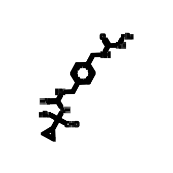 CCCCNC(=O)NCc1ccc(CNC(=N)NC(C=O)(CCCC)C2CC2)cc1